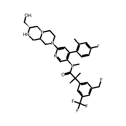 Cc1cc(F)ccc1-c1cc(N2CCN3C[C@H](CO)NCC3C2)ncc1N(C)C(=O)C(C)(C)c1cc(CF)cc(C(F)(F)F)c1